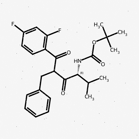 CC(C)[C@@H](NC(=O)OC(C)(C)C)C(=O)C(Cc1ccccc1)C(=O)c1ccc(F)cc1F